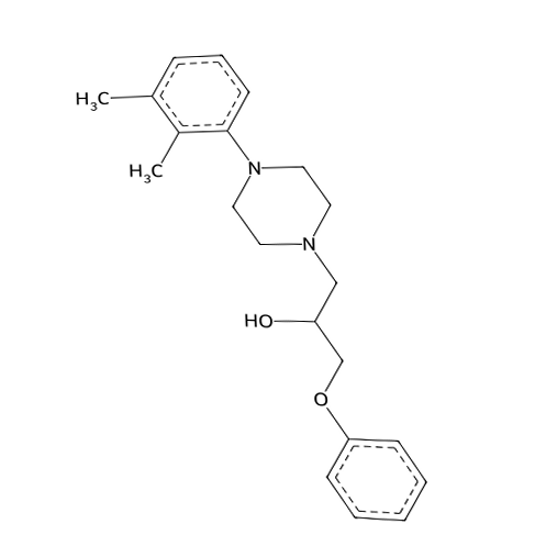 Cc1cccc(N2CCN(CC(O)COc3ccccc3)CC2)c1C